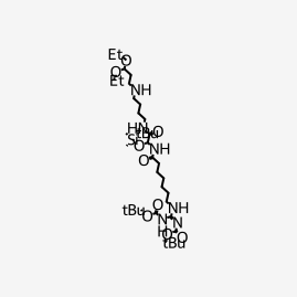 CCOC(CCNCCCCNC(=O)C(NC(=O)CCCCCCNC(=NC(=O)OC(C)(C)C)NC(=O)OC(C)(C)C)O[Si](C)(C)C(C)(C)C)OCC